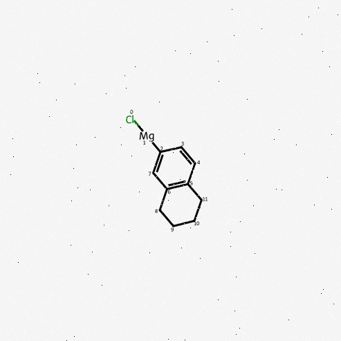 [Cl][Mg][c]1ccc2c(c1)CCCC2